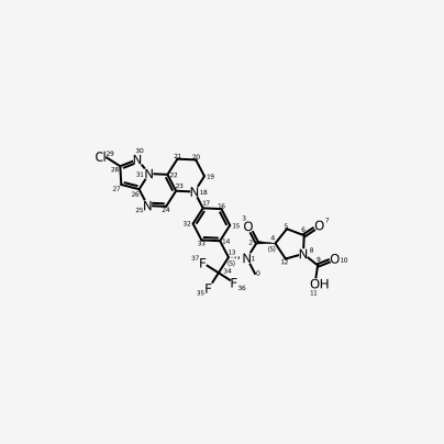 CN(C(=O)[C@H]1CC(=O)N(C(=O)O)C1)[C@@H](c1ccc(N2CCCc3c2cnc2cc(Cl)nn32)cc1)C(F)(F)F